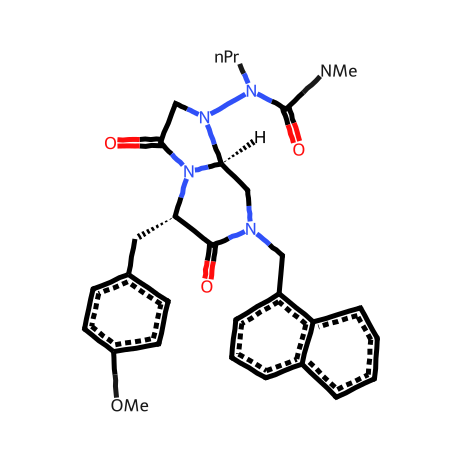 CCCN(C(=O)NC)N1CC(=O)N2[C@@H](Cc3ccc(OC)cc3)C(=O)N(Cc3cccc4ccccc34)C[C@@H]21